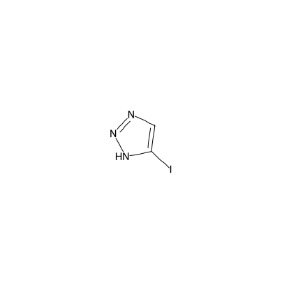 Ic1cnn[nH]1